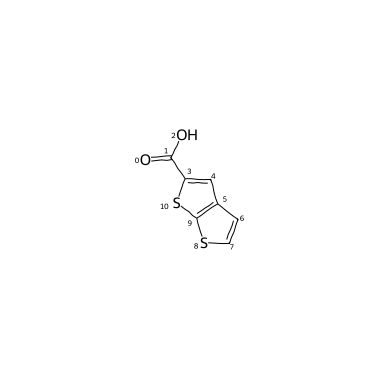 O=C(O)c1cc2ccsc2s1